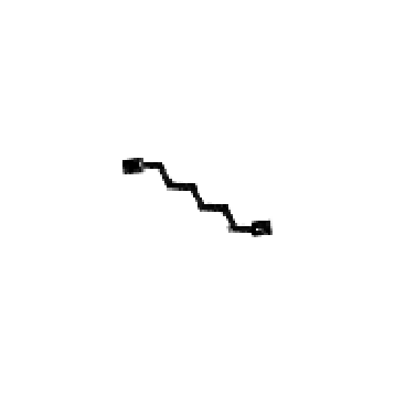 N#C[CH]CCCCCC#N